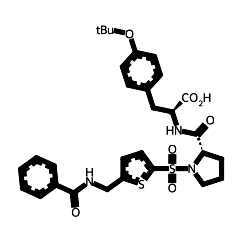 CC(C)(C)Oc1ccc(C[C@H](NC(=O)[C@@H]2CCCN2S(=O)(=O)c2ccc(CNC(=O)c3ccccc3)s2)C(=O)O)cc1